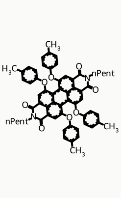 CCCCCN1C(=O)c2cc(Oc3ccc(C)cc3)c3c4c(Oc5ccc(C)cc5)cc5c6c(cc(Oc7ccc(C)cc7)c(c7c(Oc8ccc(C)cc8)cc(c2c37)C1=O)c64)C(=O)N(CCCCC)C5=O